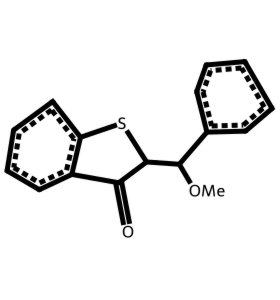 COC(c1ccccc1)C1Sc2ccccc2C1=O